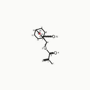 C=C(C)C(=O)OCC12CCC(CC1)COC2=O